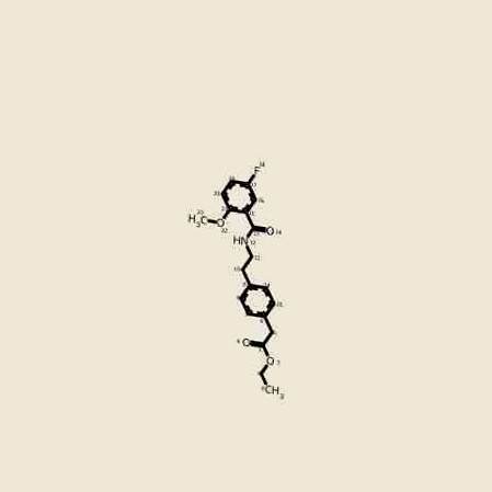 CCOC(=O)Cc1ccc(CCNC(=O)c2cc(F)ccc2OC)cc1